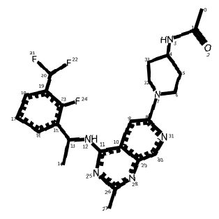 CC(=O)NC1CCN(c2cc3c(NC(C)c4cccc(C(F)F)c4F)nc(C)nc3cn2)CC1